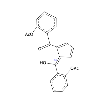 CC(=O)Oc1ccccc1C(=O)C1=CC=C/C1=C(/O)c1ccccc1OC(C)=O